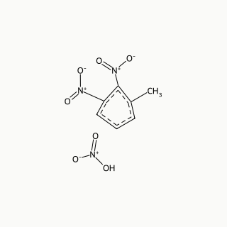 Cc1cccc([N+](=O)[O-])c1[N+](=O)[O-].O=[N+]([O-])O